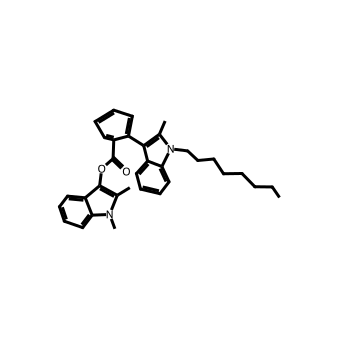 CCCCCCCCn1c(C)c(-c2ccccc2C(=O)Oc2c(C)n(C)c3ccccc23)c2ccccc21